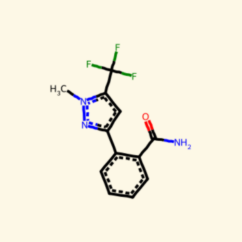 Cn1nc(-c2ccccc2C(N)=O)cc1C(F)(F)F